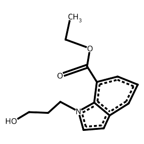 CCOC(=O)c1cccc2ccn(CCCO)c12